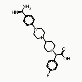 N=C(N)c1ccc(N2CCN(C3CCN(C(C(=O)O)c4ccc(F)cc4)CC3)CC2)cc1